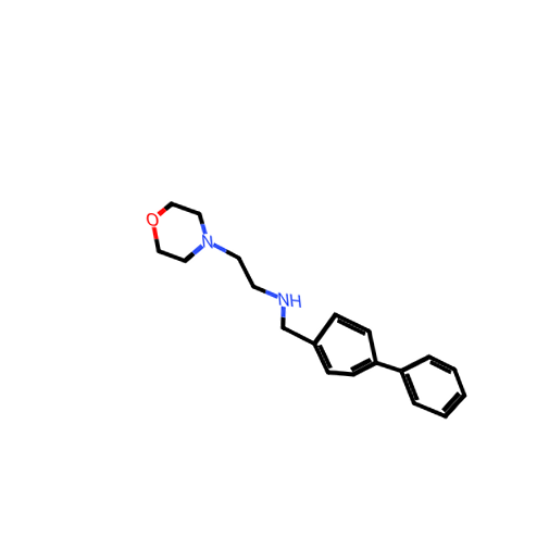 c1ccc(-c2ccc(CNCCN3CCOCC3)cc2)cc1